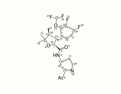 CC(=O)c1cc(NC(=O)[C@H]2OC(C)(C)[C@@H](C)[C@@H]2c2ccc(F)c(F)c2OC(F)F)ccn1